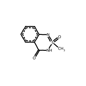 CS1(=O)=Nc2ccccc2C(=O)N1